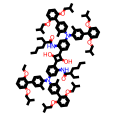 CCCCC(CC)C(=O)Nc1cc(N(c2ccc(-c3c(OCC)cccc3OCC(C)C)cc2C)c2ccc(-c3c(OCC(C)C)cccc3OCC(C)C)cc2C)ccc1C1C(O)C(c2ccc(N(c3ccc(-c4c(OCC(C)C)cccc4OCC(C)C)cc3C)c3ccc(-c4c(OCC(C)C)cccc4OCC(C)C)cc3C)cc2NC(=O)C(CC)CCCC)C1O